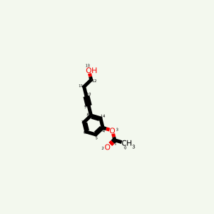 CC(=O)Oc1cccc(C#CCCO)c1